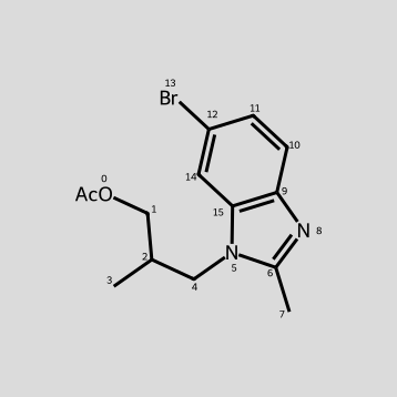 CC(=O)OCC(C)Cn1c(C)nc2ccc(Br)cc21